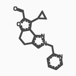 O=Cc1oc2c(c1C1CC1)-c1nn(Cc3ccccn3)cc1CC2